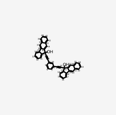 OC1(C#Cc2cccc(C#CC3(O)c4ccccc4-c4cc5ccccc5cc43)c2)c2ccccc2-c2cc3ccccc3cc21